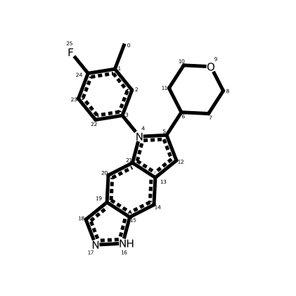 Cc1cc(-n2c(C3CCOCC3)cc3cc4[nH]ncc4cc32)ccc1F